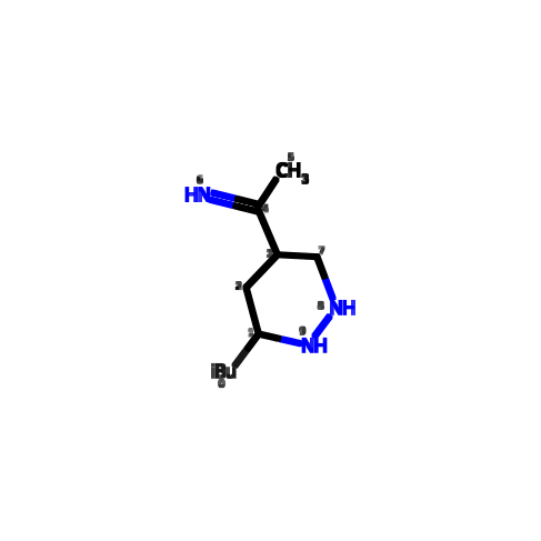 CCC(C)C1CC(C(C)=N)CNN1